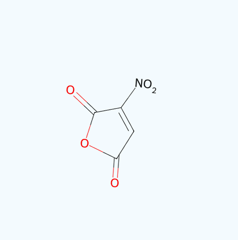 O=C1C=C([N+](=O)[O-])C(=O)O1